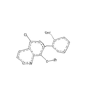 CC(C)Oc1c(-c2ccccc2C=O)cc(Cl)c2cccnc12